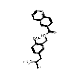 CCC(Cc1ccc(OC)c(CNC(=O)c2ccc3ncccc3c2)c1)C(=O)O